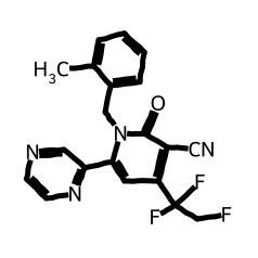 Cc1ccccc1Cn1c(-c2cnccn2)cc(C(F)(F)CF)c(C#N)c1=O